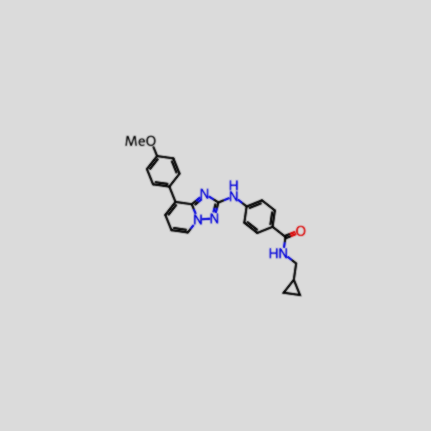 COc1ccc(-c2cccn3nc(Nc4ccc(C(=O)NCC5CC5)cc4)nc23)cc1